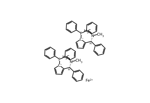 CN(C)[C@H](c1ccccc1)c1ccc[c-]1P(c1ccccc1)c1ccccc1.CN(C)[C@H](c1ccccc1)c1ccc[c-]1P(c1ccccc1)c1ccccc1.[Fe+2]